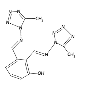 Cc1nnnn1N=Cc1cccc(O)c1C=Nn1nnnc1C